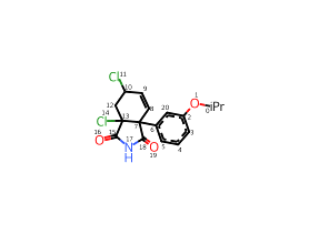 CC(C)Oc1cccc(C23C=CC(Cl)CC2(Cl)C(=O)NC3=O)c1